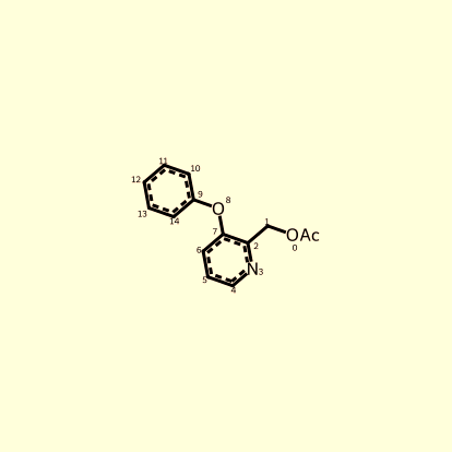 CC(=O)OCc1ncccc1Oc1ccccc1